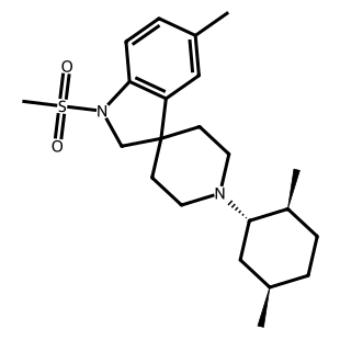 Cc1ccc2c(c1)C1(CCN([C@H]3C[C@H](C)CC[C@@H]3C)CC1)CN2S(C)(=O)=O